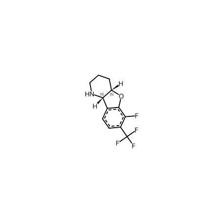 Fc1c(C(F)(F)F)ccc2c1O[C@H]1CCCN[C@@H]21